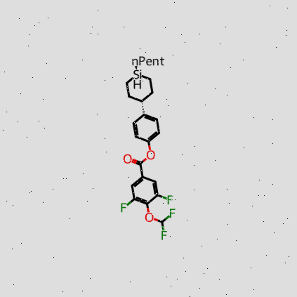 CCCCC[Si@H]1CC[C@H](c2ccc(OC(=O)c3cc(F)c(OC(F)F)c(F)c3)cc2)CC1